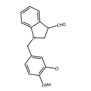 COc1ccc(CN2CC(C=O)c3ccccc32)cc1Cl